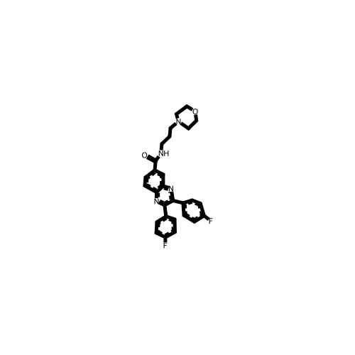 O=C(NCCCN1CCOCC1)c1ccc2nc(-c3ccc(F)cc3)c(-c3ccc(F)cc3)nc2c1